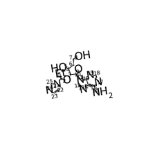 CCC(O[C@@H]1[C@H](O)[C@@H](CO)O[C@H]1n1cnc2c(N)ncnc21)n1ccnc1